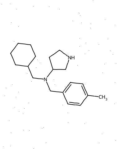 Cc1ccc(CN(CC2CCCCC2)C2CCNC2)cc1